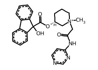 C[N+]1(CC(=O)Nc2ccncn2)CCC[C@@H](OC(=O)C2(O)c3ccccc3-c3ccccc32)C1